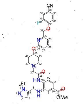 CCn1nccc1CNc1cc(C(=O)OC)ccc1NC(=O)CN1CCC(Oc2cccc(COc3ccc(C#N)cc3F)n2)CC1